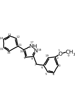 COc1cccc(Cc2cc(-c3ccccc3)[nH]n2)c1